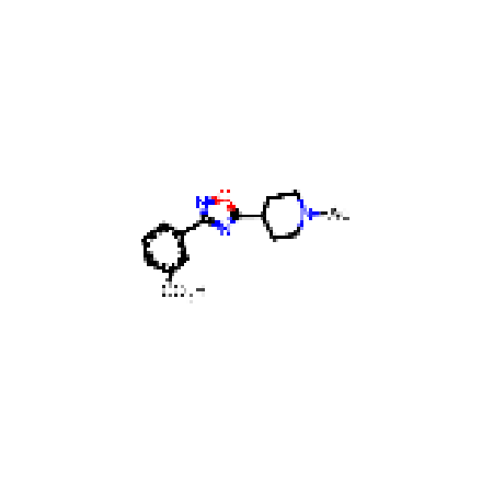 CC(=O)N1CCC(c2nc(-c3cccc(C(=O)O)c3)no2)CC1